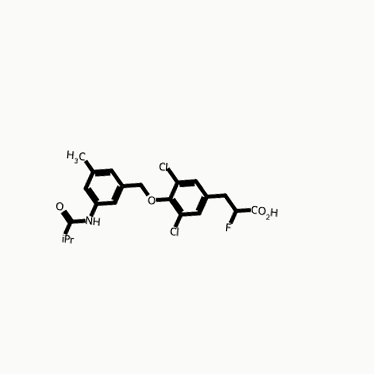 Cc1cc(COc2c(Cl)cc(CC(F)C(=O)O)cc2Cl)cc(NC(=O)C(C)C)c1